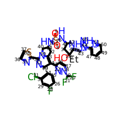 CCC(O)(CC(C)NS(=O)(=O)N[C@H]1CC2=C(c3ccn(C(F)F)n3)[C@H](c3ccc(F)cc3Cl)N=C(c3nccs3)N2C1)/C(N)=C/N(N)c1ccccn1